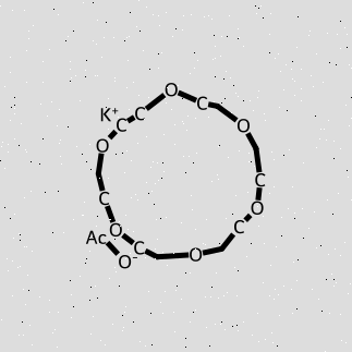 C1COCCOCCOCCOCCOCCO1.CC(=O)[O-].[K+]